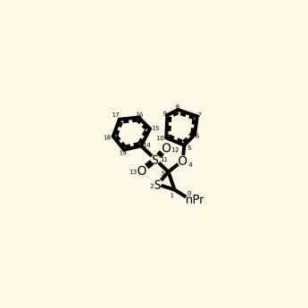 CCCC1SC1(Oc1ccccc1)S(=O)(=O)c1ccccc1